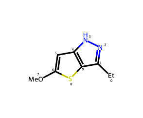 CCc1n[nH]c2cc(OC)sc12